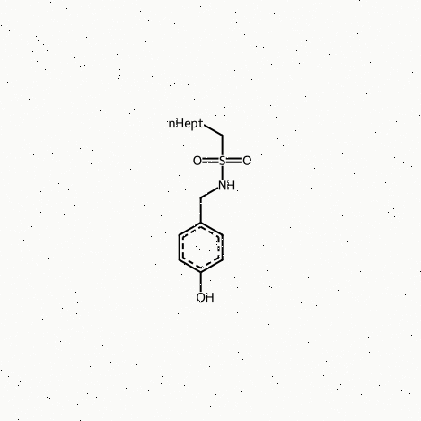 CCCCCCCCS(=O)(=O)NCc1ccc(O)cc1